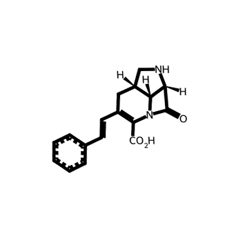 O=C(O)C1=C(/C=C/c2ccccc2)C[C@@H]2CN[C@@H]3C(=O)N1[C@H]23